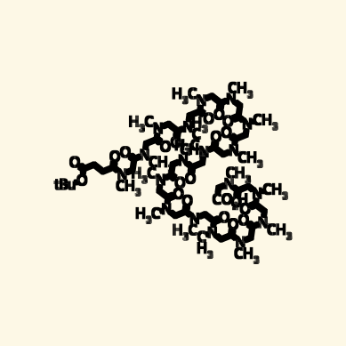 CN(CC(=O)O)C(=O)CN(C)C(=O)CN(C)C(=O)CN(C)C(=O)CN(C)C(=O)CN(C)C(=O)CN(C)C(=O)CN(C)C(=O)CN(C)C(=O)CN(C)C(=O)CN(C)C(=O)CN(C)C(=O)CN(C)C(=O)CN(C)C(=O)CN(C)C(=O)CN(C)C(=O)CN(C)C(=O)CN(C)C(=O)CCC(=O)OC(C)(C)C